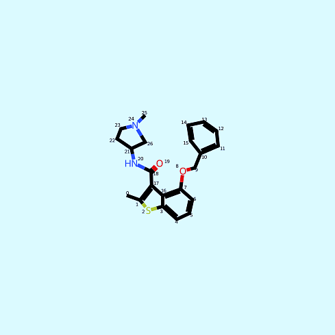 Cc1sc2cccc(OCc3ccccc3)c2c1C(=O)NC1CCN(C)C1